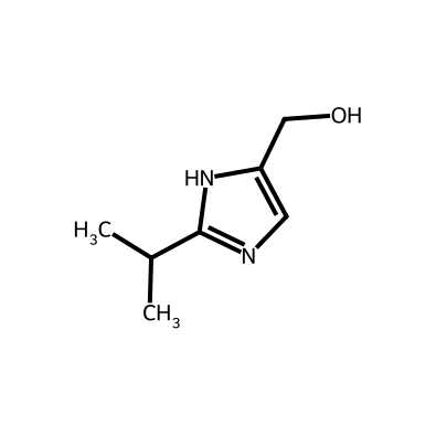 CC(C)c1ncc(CO)[nH]1